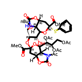 CCCCOC[C@@H](O[C@]1(C(=O)OC)C[C@H]2OC(=O)N(C(C)=O)[C@H]2C([C@H](OC(C)=O)[C@@H](COC(C)=O)OC(C)=O)O1)[C@@H](O)C1O[C@](Sc2ccccc2)(C(=O)OC)C[C@H]2OC(=O)N[C@@H]12